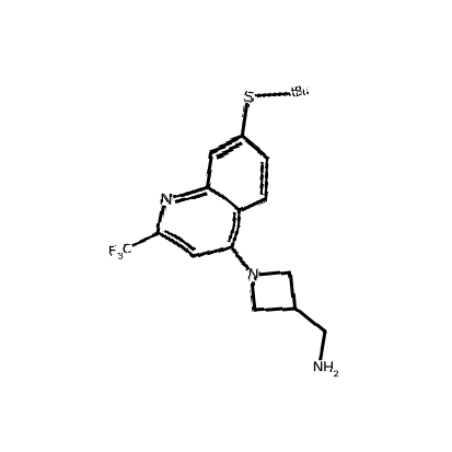 CC(C)(C)Sc1ccc2c(N3CC(CN)C3)cc(C(F)(F)F)nc2c1